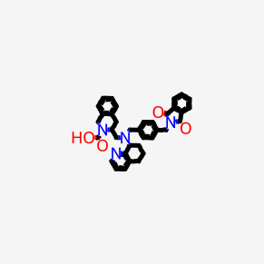 O=C1c2ccccc2C(=O)N1Cc1ccc(CN(CC2Cc3ccccc3CN2C(=O)O)C2CCCc3cccnc32)cc1